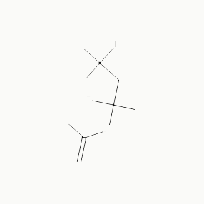 C=C(F)OC(F)(F)CC(F)(F)F